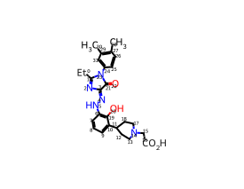 CCC1=NC(=NNc2cccc(C3CCN(CC(=O)O)CC3)c2O)C(=O)N1c1ccc(C)c(C)c1